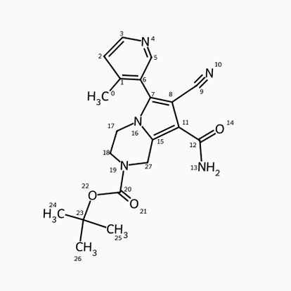 Cc1ccncc1-c1c(C#N)c(C(N)=O)c2n1CCN(C(=O)OC(C)(C)C)C2